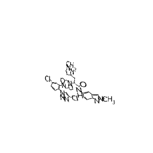 Cn1ccc(CC(C(=O)Nc2ccc3nn(C)cc3c2)N2CON(c3cc(Cl)ccc3-n3cc(Cl)nn3)CO2)n1